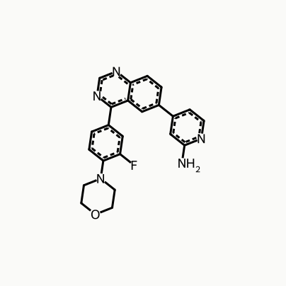 Nc1cc(-c2ccc3ncnc(-c4ccc(N5CCOCC5)c(F)c4)c3c2)ccn1